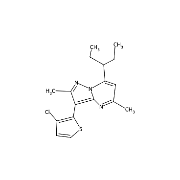 CCC(CC)c1cc(C)nc2c(-c3sccc3Cl)c(C)nn12